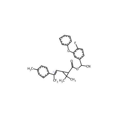 Cc1ccc(/C(=C/C2C(C(=O)OC(C#N)c3ccc(F)c(Oc4ccccc4)c3)C2(C)C)C(F)(F)F)cc1